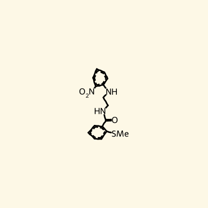 CSc1ccccc1C(=O)NCCNc1ccccc1[N+](=O)[O-]